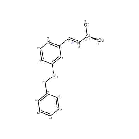 CC(C)(C)[S@+]([O-])/N=C/c1cc(OCc2ccccc2)ccn1